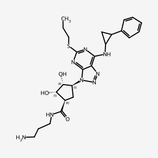 CCCSc1nc(NC2CC2c2ccccc2)c2nnn([C@H]3C[C@@H](C(=O)NCCCN)[C@H](O)[C@@H]3O)c2n1